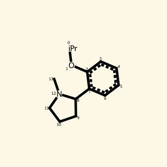 CC(C)Oc1ccccc1C1CCCN1C